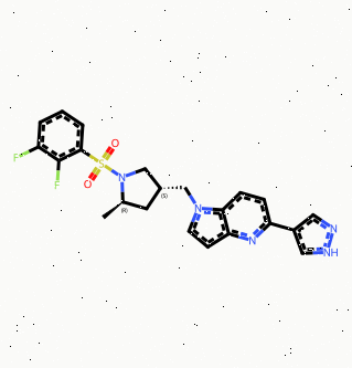 C[C@@H]1C[C@@H](Cn2ccc3nc(-c4cn[nH]c4)ccc32)CN1S(=O)(=O)c1cccc(F)c1F